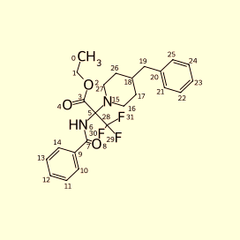 CCOC(=O)C(NC(=O)c1ccccc1)(N1CCC(Cc2ccccc2)CC1)C(F)(F)F